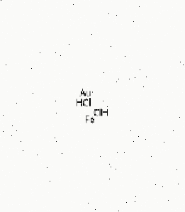 Cl.Cl.[Au].[Fe]